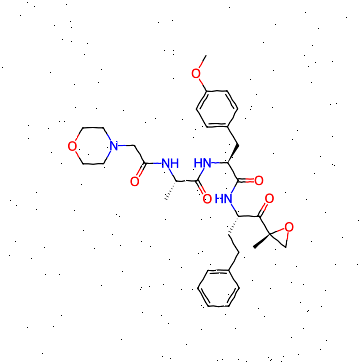 COc1ccc(C[C@H](NC(=O)[C@H](C)NC(=O)CN2CCOCC2)C(=O)N[C@@H](CCc2ccccc2)C(=O)[C@@]2(C)CO2)cc1